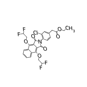 CCOC(=O)Cc1ccc(N2C(=O)c3c(c(OCC(F)F)c4ccccc4c3OCC(F)F)C2=O)c(Cl)c1